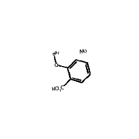 CCCOc1ccccc1C(=O)O.[Mo]